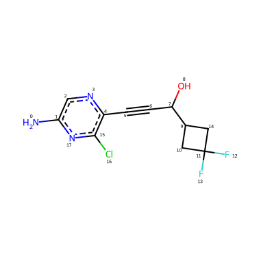 Nc1cnc(C#CC(O)C2CC(F)(F)C2)c(Cl)n1